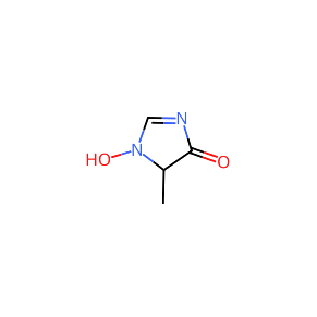 CC1C(=O)N=CN1O